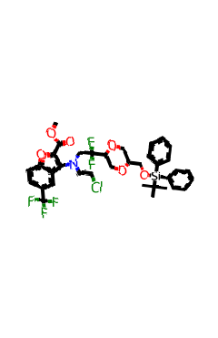 COC(=O)c1oc2ccc(C(F)(F)F)cc2c1N(CCCl)CC(F)(F)C1COC(CO[Si](c2ccccc2)(c2ccccc2)C(C)(C)C)CO1